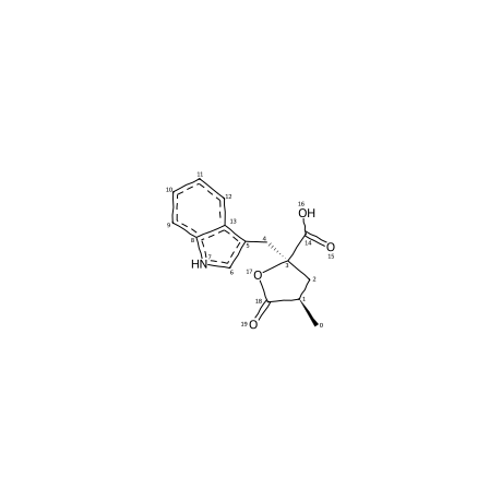 C[C@@H]1C[C@](Cc2c[nH]c3ccccc23)(C(=O)O)OC1=O